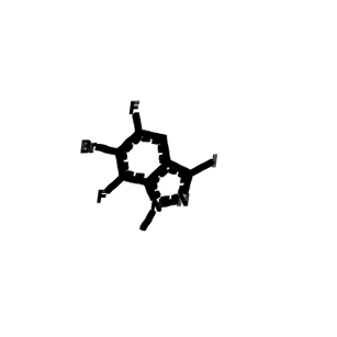 Cn1nc(I)c2cc(F)c(Br)c(F)c21